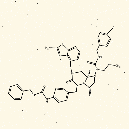 CCCN(C(=O)NCc1ccc(F)cc1)N1CC(=O)N2[C@@H](Cc3ccc(NC(=O)OCc4ccccc4)cc3)C(=O)N(Cc3cccc4sc(N)nc34)C[C@@H]21